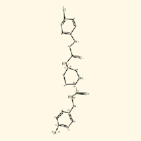 O=C(COc1ccc(Cl)cc1)N[C@@H]1CC[C@@H](C(=O)NCc2ccc(C(F)(F)F)nc2)OC1